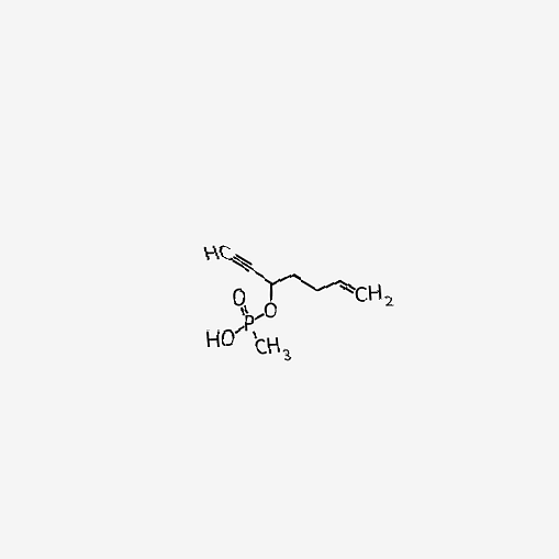 C#CC(CCC=C)OP(C)(=O)O